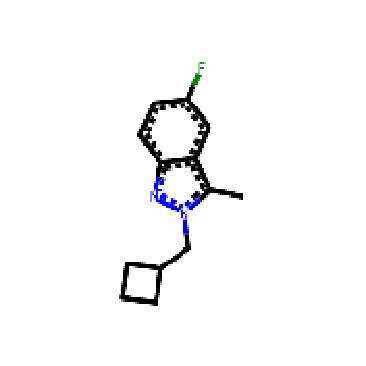 Cc1c2cc(F)ccc2nn1CC1CCC1